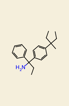 CCC(C)(CC)c1ccc(C(N)(CC)c2ccccc2)cc1